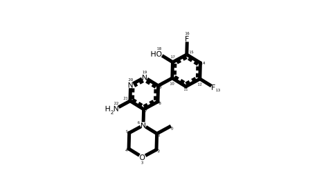 CC1COCCN1c1cc(-c2cc(F)cc(F)c2O)nnc1N